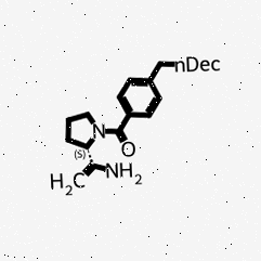 C=C(N)[C@@H]1CCCN1C(=O)c1ccc(CCCCCCCCCCC)cc1